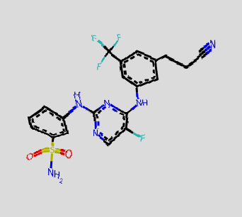 N#CCCc1cc(Nc2nc(Nc3cccc(S(N)(=O)=O)c3)ncc2F)cc(C(F)(F)F)c1